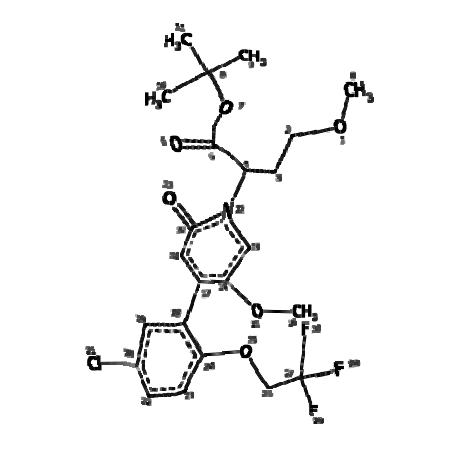 COCCC(C(=O)OC(C)(C)C)n1cc(OC)c(-c2cc(Cl)ccc2OCC(F)(F)F)cc1=O